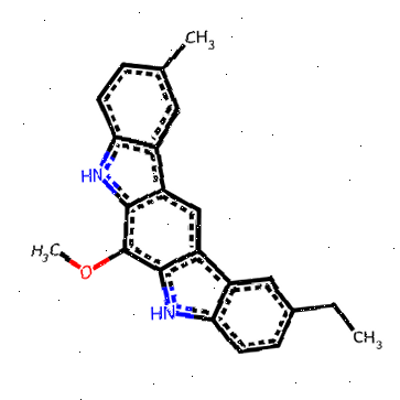 CCc1ccc2[nH]c3c(OC)c4[nH]c5ccc(C)cc5c4cc3c2c1